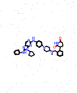 CN(Cc1ccccc1C1CCC(=O)NC1=O)C1CCN(c2ccc(Nc3ncc4nc(Nc5ccccc5)n(C5CCCC5)c4n3)cc2)CC1